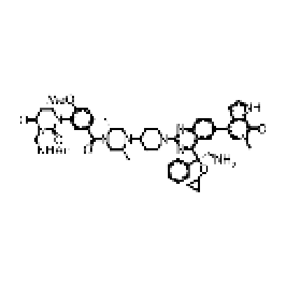 COc1ccc(C(=O)N2C[C@H](C)N(C3CCN(c4nc([C@@](CN)(OC5CC5)c5ccccc5)c5cc(-c6cn(C)c(=O)c7[nH]ccc67)ccc5n4)CC3)C[C@H]2C)cc1N1CCC(=O)N(CNC(C)=O)C1=O